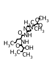 CCCC(NC(=O)C(O)C(C)C)C(=O)Nc1cn(C(C)(C)C(=O)OC)cn1